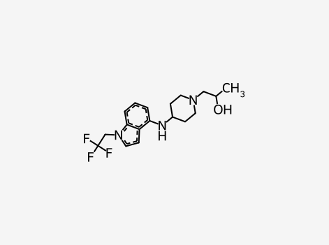 CC(O)CN1CCC(Nc2cccc3c2ccn3CC(F)(F)F)CC1